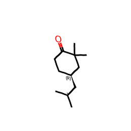 C[C](C)C[C@H]1CCC(=O)C(C)(C)C1